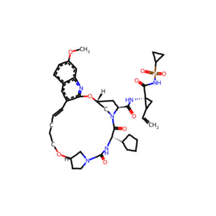 C=CC1C[C@]1(NC(=O)[C@@H]1C[C@@H]2CN1C(=O)[C@H](C1CCCC1)NC(=O)N1CC[C@@H](C1)OCCC/C=C/c1cc3ccc(OC)cc3nc1O2)C(=O)NS(=O)(=O)C1CC1